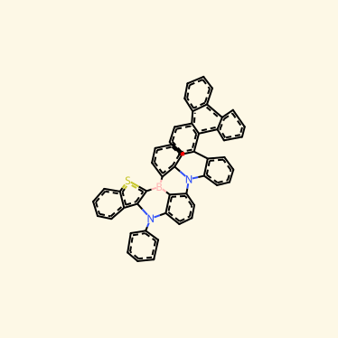 c1ccc(N2c3cccc4c3B(c3ccccc3N4c3ccccc3-c3cccc4c5ccccc5c5ccccc5c34)c3sc4ccccc4c32)cc1